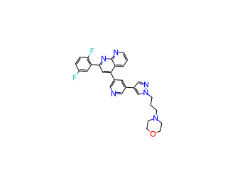 Fc1ccc(F)c(-c2cc(-c3cncc(-c4cnn(CCCN5CCOCC5)c4)c3)c3cccnc3n2)c1